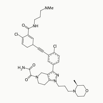 CNCCCNC(=O)C1=CC(C#Cc2cc(-c3nn(CCCN4CCOC[C@@H]4C)c4c3CN(C(=O)C(N)=O)CC4)ccc2Cl)CC=C1Cl